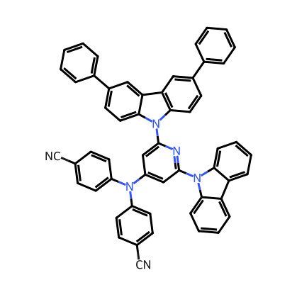 N#Cc1ccc(N(c2ccc(C#N)cc2)c2cc(-n3c4ccccc4c4ccccc43)nc(-n3c4ccc(-c5ccccc5)cc4c4cc(-c5ccccc5)ccc43)c2)cc1